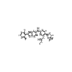 CCNCc1nc(Nc2cc3nc(-c4c(C)cccc4F)sc3cn2)ccc1N1CCC(F)(F)C1